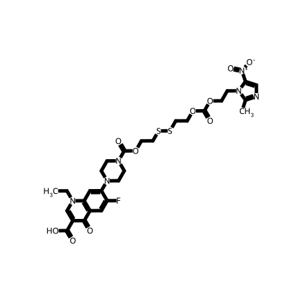 CCn1cc(C(=O)O)c(=O)c2cc(F)c(N3CCN(C(=O)OCCSSCCOC(=O)OCCn4c([N+](=O)[O-])cnc4C)CC3)cc21